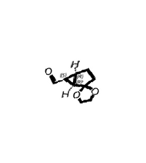 O=C[C@H]1[C@H]2CCC3(OCCO3)[C@@H]12